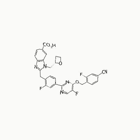 N#Cc1ccc(COc2nc(-c3ccc(Cc4nc5ccc(C(=O)O)cc5n4C[C@@H]4CCO4)c(F)c3)ncc2F)c(F)c1